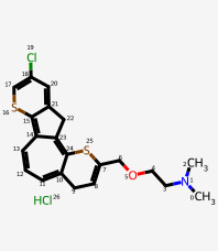 CN(C)CCOCC1=CCC2=CC=CC3=C4SC=C(Cl)C=C4CC3=C2S1.Cl